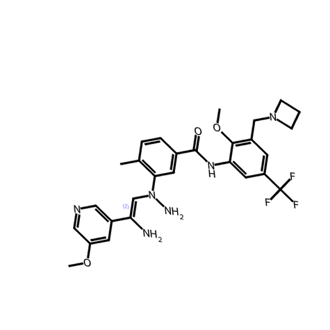 COc1cncc(/C(N)=C/N(N)c2cc(C(=O)Nc3cc(C(F)(F)F)cc(CN4CCC4)c3OC)ccc2C)c1